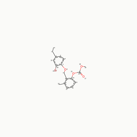 CCc1ccc(OCc2c(C)cccc2OC(=O)OC)c(Br)c1